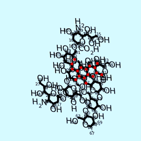 CC1C(O)[C@H](O[C@@H]2OC(CO)[C@H](O)C(O[C@]3(C(=O)O)C[C@@H](O)[C@@H](N)C([C@H](O)[C@H](O)CO)O3)C2O)[C@H](CO)O[C@H]1O[C@@H]1C(O)[C@H](O)C(CO)O[C@@H]1OCC1O[C@@H](O[C@@H]2C(CO)O[C@@H](O[C@@H]3C(CO)O[C@@H](C)[C@@H](C)C3O)[C@@H](C)C2O)[C@H](O)C(O[C@H]2O[C@H](CO)[C@@H](O)C(O)C2O[C@@H]2OC(CO)[C@@H](O[C@@H]3OC(CO[C@]4(C(=O)O)C[C@@H](O)[C@@H](N)C([C@H](O)[C@H](O)CO)O4)[C@H](O)C(O)[C@@H]3O)C(O)[C@@H]2C)[C@@H]1O